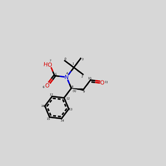 CC(C)(C)N(C(=O)O)[C@@H](CC=O)c1ccccc1